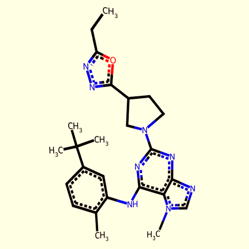 CCc1nnc(C2CCN(c3nc(Nc4cc(C(C)(C)C)ccc4C)c4c(ncn4C)n3)C2)o1